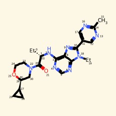 CC[C@H](Nc1ncnc2c1nc(-c1cnc(C)nc1)n2CC)C(=O)N1CCO[C@H](C2CC2)C1